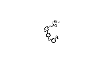 CN(C)c1cccc(Oc2ccc(C3CN(CCC(=O)OC(C)(C)C)CCO3)cc2)c1